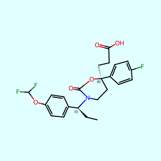 CC[C@@H](c1ccc(OC(F)F)cc1)N1CC[C@](CCC(=O)O)(c2ccc(F)cc2)OC1=O